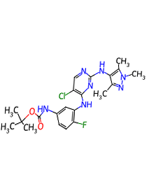 Cc1nn(C)c(C)c1Nc1ncc(Cl)c(Nc2cc(NC(=O)OC(C)(C)C)ccc2F)n1